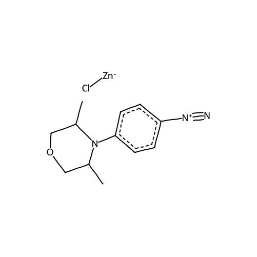 CC1COCC(C)N1c1ccc([N+]#N)cc1.[Cl][Zn-]